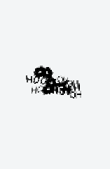 OCC(O)C(O)C(CO)C(O)C(O)c1cc2c3ccc4cccc(O)c4c3oc2c2c(O)cccc12